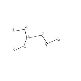 C[C]CC(CC)CC